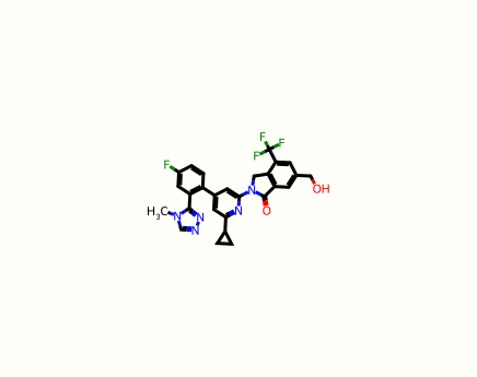 Cn1cnnc1-c1cc(F)ccc1-c1cc(C2CC2)nc(N2Cc3c(cc(CO)cc3C(F)(F)F)C2=O)c1